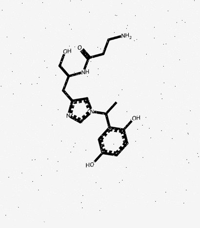 CC(c1cc(O)ccc1O)n1cnc(CC(CO)NC(=O)CCN)c1